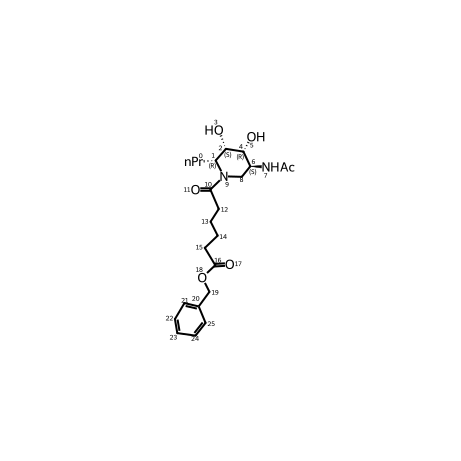 CCC[C@@H]1[C@H](O)[C@H](O)[C@@H](NC(C)=O)CN1C(=O)CCCCC(=O)OCc1ccccc1